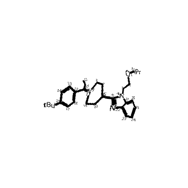 CC(C)OCCn1c(C2CCN(C(C)c3ccc(C(C)(C)C)cc3)CC2)nc2ccccc21